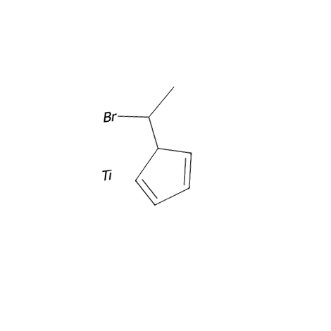 CC(Br)C1C=CC=C1.[Ti]